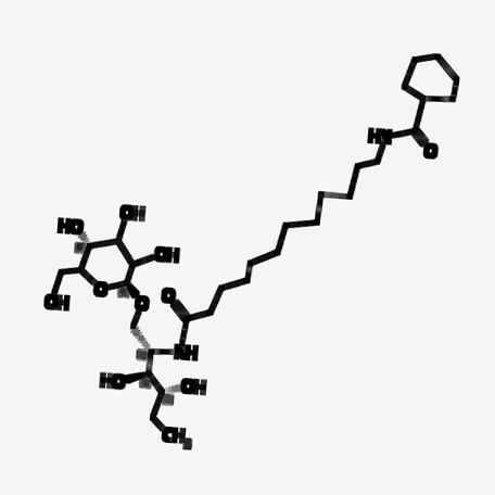 CC[C@@H](O)[C@@H](O)[C@H](CO[C@H]1OC(CO)[C@H](O)C(O)C1O)NC(=O)CCCCCCCCCCCNC(=O)C1CCCCC1